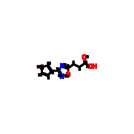 O=C(O)CCc1nc(-c2ccsc2)no1